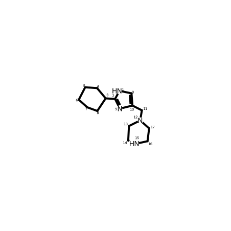 c1[nH]c(C2CCCCC2)nc1CN1CCNCC1